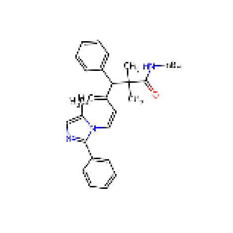 C=C(/C=C\n1c(C)cnc1-c1ccccc1)C(c1ccccc1)C(C)(C)C(=O)NCCCC